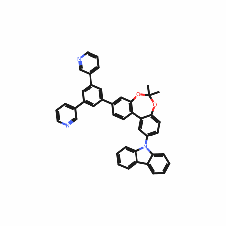 CC1(C)Oc2cc(-c3cc(-c4cccnc4)cc(-c4cccnc4)c3)ccc2-c2cc(-n3c4ccccc4c4ccccc43)ccc2O1